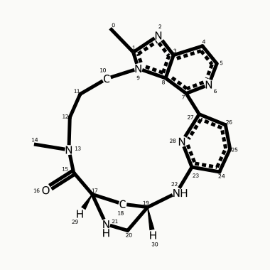 Cc1nc2ccnc3c2n1CCCN(C)C(=O)[C@@H]1C[C@@H](CN1)Nc1cccc-3n1